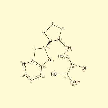 CN1CCCC1[C@@H]1Cc2ncccc2O1.O=C(O)C(O)C(O)C(=O)O